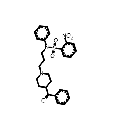 O=C(c1ccccc1)C1CCN(CCCN(c2ccccc2)S(=O)(=O)c2ccccc2[N+](=O)[O-])CC1